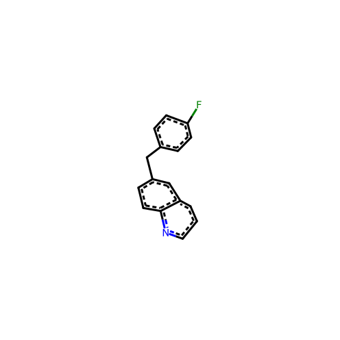 Fc1ccc(Cc2ccc3ncccc3c2)cc1